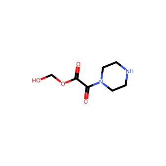 O=C(OCO)C(=O)N1CCNCC1